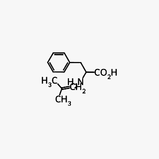 C=C(C)C.NC(Cc1ccccc1)C(=O)O